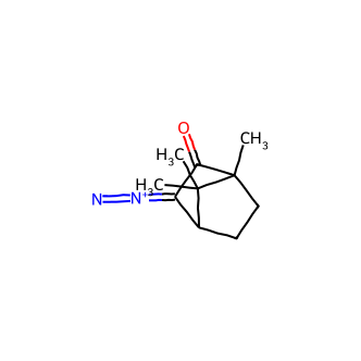 CC12CCC(C(=[N+]=[N-])C1=O)C2(C)C